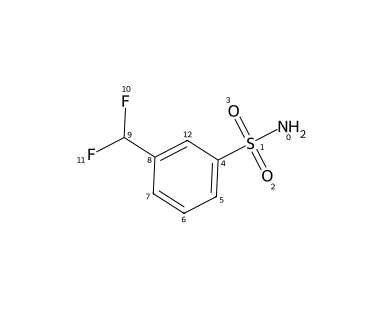 NS(=O)(=O)c1cccc(C(F)F)c1